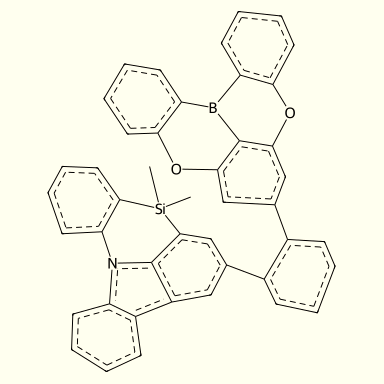 C[Si]1(C)c2ccccc2-n2c3ccccc3c3cc(-c4ccccc4-c4cc5c6c(c4)Oc4ccccc4B6c4ccccc4O5)cc1c32